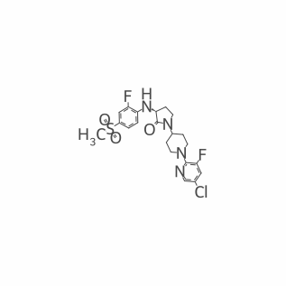 CS(=O)(=O)c1ccc(N[C@H]2CCN(C3CCN(c4ncc(Cl)cc4F)CC3)C2=O)c(F)c1